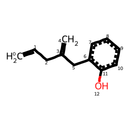 C=CCC(=C)Cc1ccccc1O